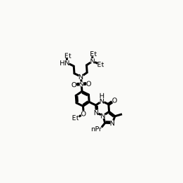 CCCc1nc(C)c2c(=O)[nH]c(-c3cc(S(=O)(=O)N(CCNCC)CCN(CC)CC)ccc3OCC)nn12